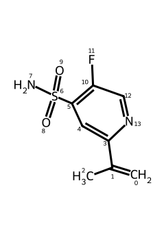 C=C(C)c1cc(S(N)(=O)=O)c(F)cn1